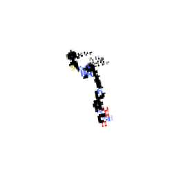 CNCc1ccccc1-c1csc([C@@H](C)Nc2nc(C)nc3c(CCCCCCCN4CCC(c5ccc6c(c5)C(=O)N(C5CCC(=O)NC5=O)C6)CC4)c(OC)c(OC)cc23)c1